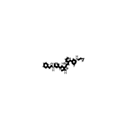 CN(C)CCNc1cc(F)cc(-c2nccc3[nH]c(-c4n[nH]c5cnc(-c6cncc(NC(=O)CC7CCCCC7)c6)cc45)cc23)c1